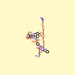 CC[C@@]1(O)C(=O)OCC(C)=C1/C=C1/c2nc3cc(F)c(C)c4c3c(c2CN1C=O)[C@@H](NC(=O)C(O)c1ccc(NC(=O)[C@H](CCCCN)NC(=O)[C@H](Cc2ccccc2)NC(=O)CCOCCOCCOCCOCCOCCOCCN=[N+]=[N-])cc1)CC4